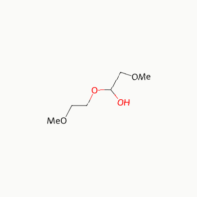 COCCOC(O)COC